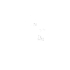 c1cc(N2CCCC2)n[nH]1